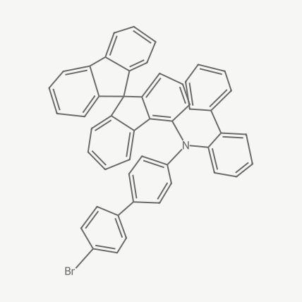 Brc1ccc(-c2ccc(N(c3ccccc3-c3ccccc3)c3cccc4c3-c3ccccc3C43c4ccccc4-c4ccccc43)cc2)cc1